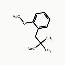 COOc1ccccc1CC(C)(C)OC